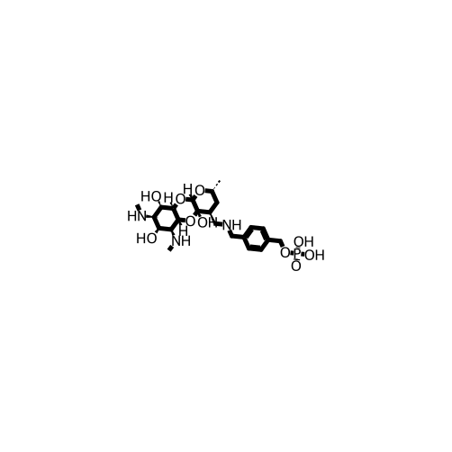 CN[C@@H]1[C@H](O)[C@H](NC)[C@H]2O[C@@]3(O)[C@H](CNCc4ccc(COP(=O)(O)O)cc4)C[C@@H](C)O[C@H]3O[C@@H]2[C@H]1O